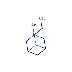 CC(=O)N1CC2CC(C1)N2CCC(F)(F)F